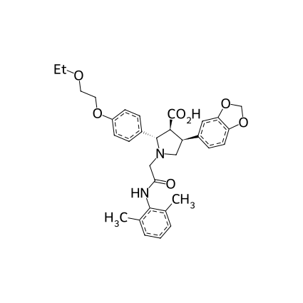 CCOCCOc1ccc([C@@H]2[C@@H](C(=O)O)[C@@H](c3ccc4c(c3)OCO4)CN2CC(=O)Nc2c(C)cccc2C)cc1